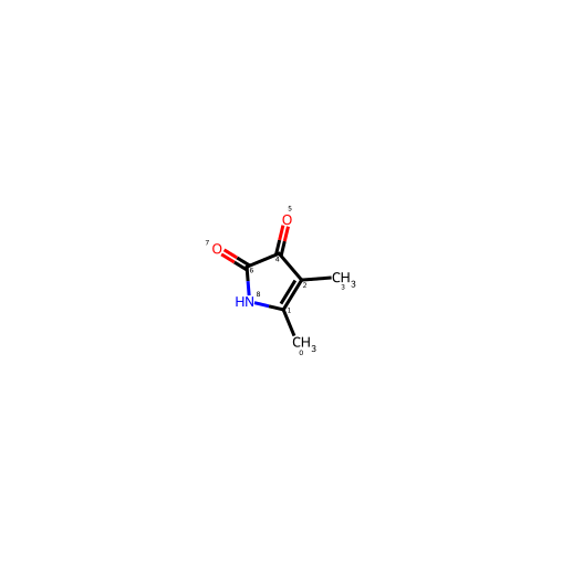 CC1=C(C)C(=O)C(=O)N1